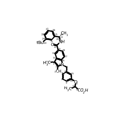 Cc1c(C)n(Cc2cccc(OC(C)C(=O)O)c2)c2ccc(C(=O)N[C@@H](C)c3cccc(C(C)(C)C)c3)cc12